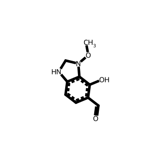 CON1CNc2ccc(C=O)c(O)c21